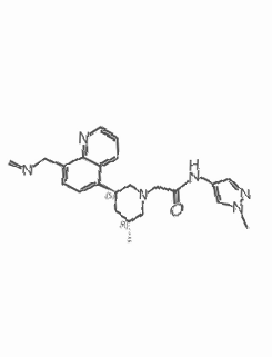 C=NCc1ccc([C@@H]2C[C@@H](C)CN(CC(=O)Nc3cnn(C)c3)C2)c2cccnc12